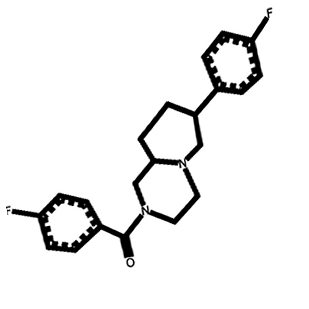 O=C(c1ccc(F)cc1)N1CCN2CC(c3ccc(F)cc3)CCC2C1